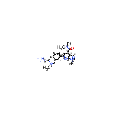 CCN(C)C(=O)c1cc(-c2cccc(CN(C)CCN)c2)nc2c1cnn2C(C)C